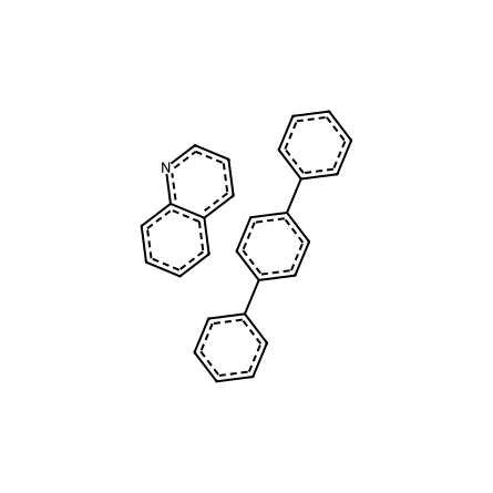 c1ccc(-c2ccc(-c3ccccc3)cc2)cc1.c1ccc2ncccc2c1